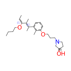 C/C=C(OCCCC)\C(C)=C(/C)c1cccc(OCCCN2CC[C@@H](O)C2)c1C